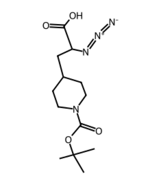 CC(C)(C)OC(=O)N1CCC(CC(N=[N+]=[N-])C(=O)O)CC1